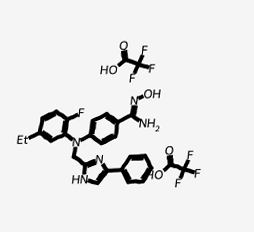 CCc1ccc(F)c(N(Cc2nc(-c3ccccc3)c[nH]2)c2ccc(C(N)=NO)cc2)c1.O=C(O)C(F)(F)F.O=C(O)C(F)(F)F